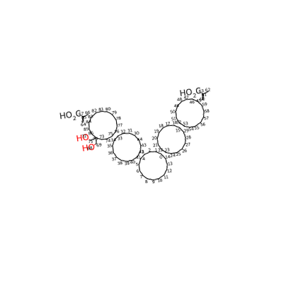 C1CCCCCCCCCCCCCC1.C1CCCCCCCCCCCCCC1.C1CCCCCCCCCCCCCC1.C1CCCCCCCCCCCCCC1.C=C(C)C(=O)O.C=C(C)C(=O)O.OCC1(CO)CCCCCCCCCCCCCC1